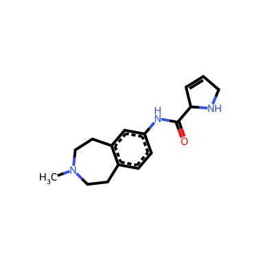 CN1CCc2ccc(NC(=O)C3C=CCN3)cc2CC1